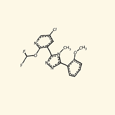 COc1ccccc1-c1nnc(-c2cc(Cl)cnc2OC(F)F)n1C